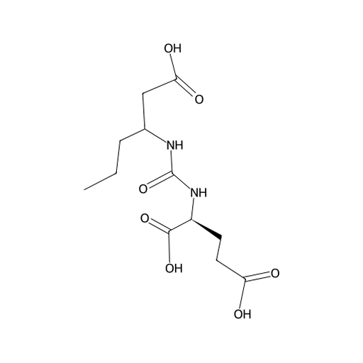 CCCC(CC(=O)O)NC(=O)N[C@@H](CCC(=O)O)C(=O)O